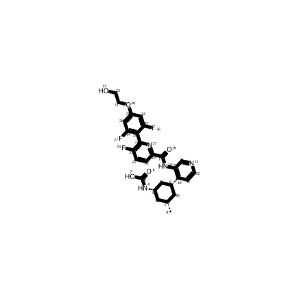 C[C@@H]1C[C@H](NC(=O)O)C[C@H](c2ccncc2NC(=O)c2ccc(F)c(-c3c(F)cc(OCCO)cc3F)n2)C1